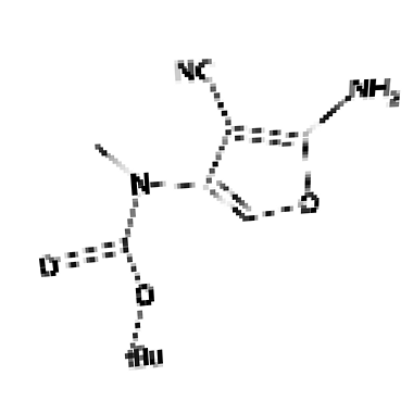 CN(C(=O)OC(C)(C)C)c1coc(N)c1C#N